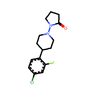 O=C1CCCN1N1CCC(c2ccc(Cl)cc2F)CC1